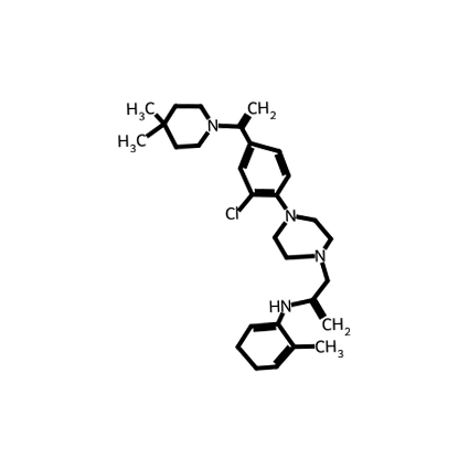 C=C(CN1CCN(c2ccc(C(=C)N3CCC(C)(C)CC3)cc2Cl)CC1)NC1=CCCC=C1C